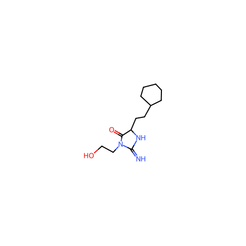 N=C1NC(CCC2CCCCC2)C(=O)N1CCO